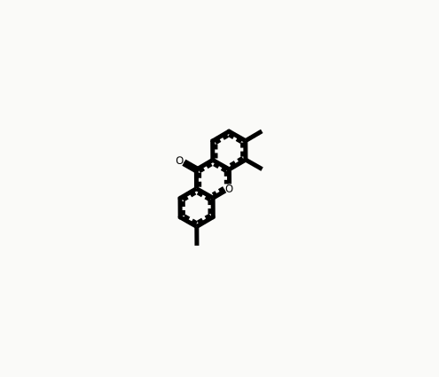 Cc1ccc2c(=O)c3ccc(C)c(C)c3oc2c1